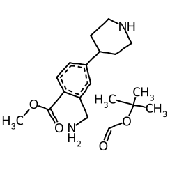 CC(C)(C)OC=O.COC(=O)c1ccc(C2CCNCC2)cc1CN